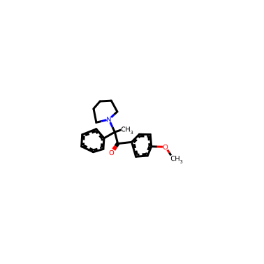 COc1ccc(C(=O)C(C)(c2ccccc2)N2CCCCC2)cc1